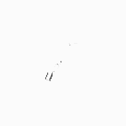 CCCC1CCC(C2CCC(C(=O)Oc3ccc(CCC(F)(F)C(F)(F)C(F)(F)C(F)(F)F)cc3)CC2)CC1